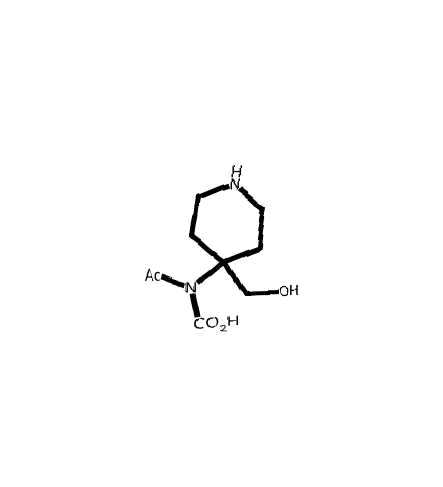 CC(=O)N(C(=O)O)C1(CO)CCNCC1